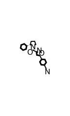 N#Cc1ccc(-c2cc(C(=O)N3CCC[C@H]3c3ccccc3)no2)cc1